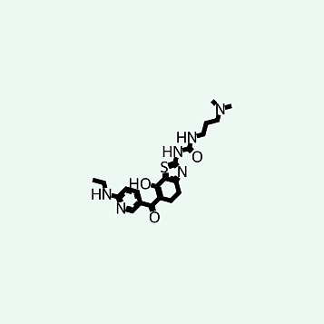 CCNc1ccc(C(=O)C2=C(O)c3sc(NC(=O)NCCCN(C)C)nc3CC2)cn1